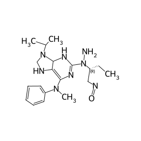 CC[C@H](CN=O)N(N)C1=NC(N(C)c2ccccc2)=C2NCN(C(C)C)C2N1